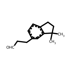 CC1(C)CCc2ccc(CCC=O)cc21